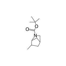 CC1CC2CC1N(C(=O)OC(C)(C)C)C2